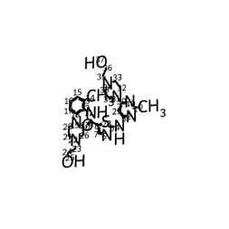 Cc1nc(Nc2ncc(C(=O)Nc3c(C)cccc3N3CCN(CCO)CC3)s2)cc(N2CCN(CCO)CC2)n1